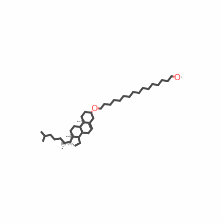 CC(C)CCC[C@@H](C)[C@H]1CCC2C3CC=C4CC(OCCCCCCCCCCCCCCCC[O])CC[C@]4(C)C3CC[C@@]21C